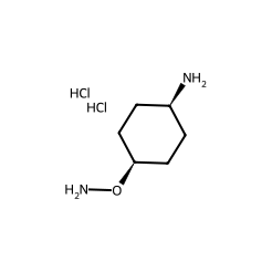 Cl.Cl.NO[C@H]1CC[C@@H](N)CC1